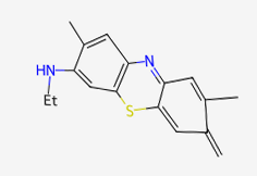 C=c1cc2c(cc1C)=Nc1cc(C)c(NCC)cc1S2